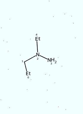 CCCN(N)CC